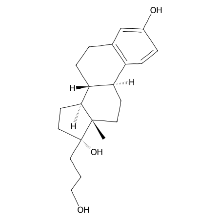 C[C@]12CC[C@@H]3c4ccc(O)cc4CC[C@H]3[C@@H]1CC[C@]2(O)CCCO